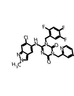 Cn1cc2cc(Nc3nc(=O)n(Cc4cc(Cl)ccn4)c(=O)n3Cc3cc(F)c(F)cc3F)c(Cl)cc2n1